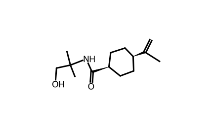 C=C(C)[C@H]1CC[C@@H](C(=O)NC(C)(C)CO)CC1